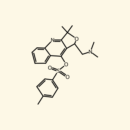 Cc1ccc(S(=O)(=O)Oc2c3c(nc4ccccc24)C(C)(C)OC3CN(C)C)cc1